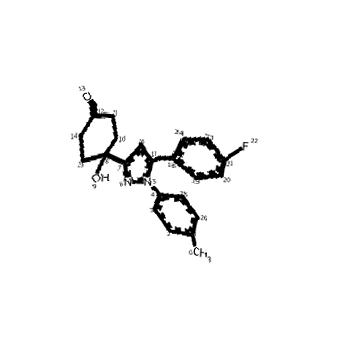 Cc1ccc(-n2nc(C3(O)CCC(=O)CC3)cc2-c2ccc(F)cc2)cc1